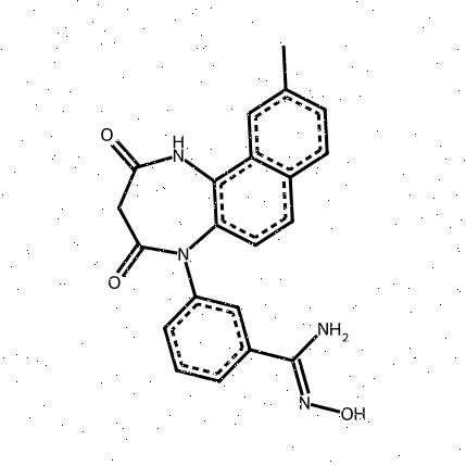 Cc1ccc2ccc3c(c2c1)NC(=O)CC(=O)N3c1cccc(/C(N)=N/O)c1